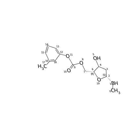 CB[C@H]1CC(O)[C@@H](COC(=O)Oc2cccc(C)c2)O1